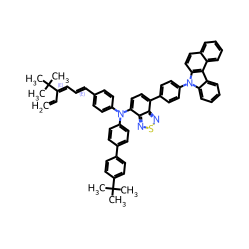 C=C/C(=C\C=C\c1ccc(N(c2ccc(-c3ccc(C(C)(C)C)cc3)cc2)c2ccc(-c3ccc(-n4c5ccccc5c5c6ccccc6ccc54)cc3)c3nsnc23)cc1)C(C)(C)C